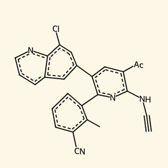 C#CNc1nc(-c2cccc(C#N)c2C)c(-c2cc(Cl)c3ncccc3c2)cc1C(C)=O